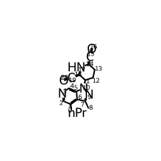 CCCc1cncc2c1c(C)nn2C1CCC(=C=O)NC1=C=O